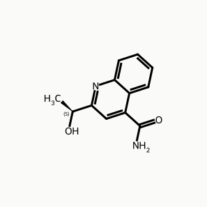 C[C@H](O)c1cc(C(N)=O)c2ccccc2n1